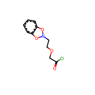 O=C(Cl)COCCN1Oc2ccccc2O1